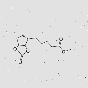 COC(=O)CCCCC1SCC2OC(=O)OC21